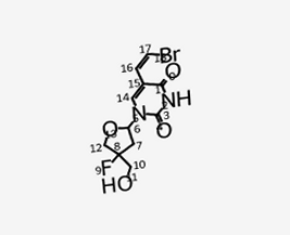 O=c1[nH]c(=O)n(C2CC(F)(CO)CO2)cc1/C=C\Br